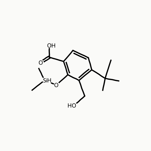 C[SiH](C)Oc1c(C(=O)O)ccc(C(C)(C)C)c1CO